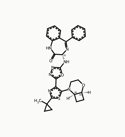 CC1(c2nc(-c3nnc(N[C@H]4N=C(c5ccccc5)c5ccccc5NC4=O)o3)c(N3CCO[C@H]4CC[C@H]43)s2)CC1